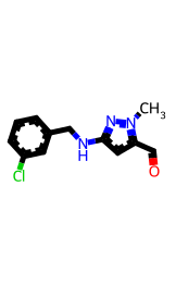 Cn1nc(NCc2cccc(Cl)c2)cc1C=O